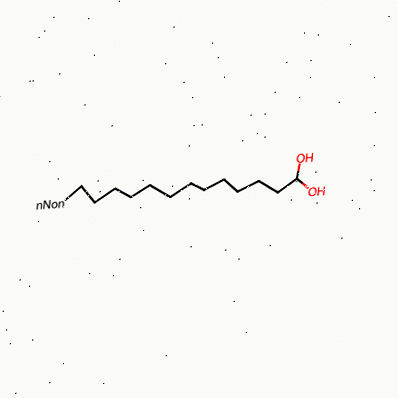 CCCCCCCCCCCCCCCCCCCCC[C](O)O